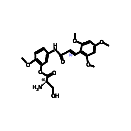 COc1cc(OC)c(/C=C/C(=O)Nc2ccc(OC)c(OC(=O)[C@@H](N)CO)c2)c(OC)c1